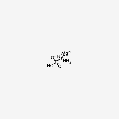 N.O.O=P([O-])([O-])O.[Mg+2]